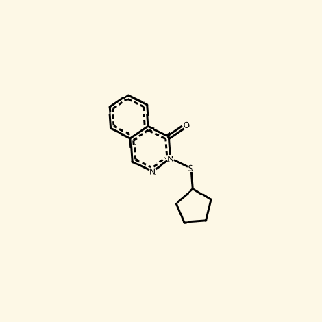 O=c1c2ccccc2cnn1SC1CCCC1